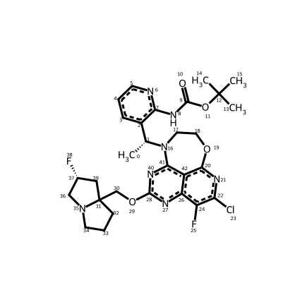 C[C@H](c1cccnc1NC(=O)OC(C)(C)C)N1CCOc2nc(Cl)c(F)c3nc(OCC45CCCN4C[C@H](F)C5)nc1c23